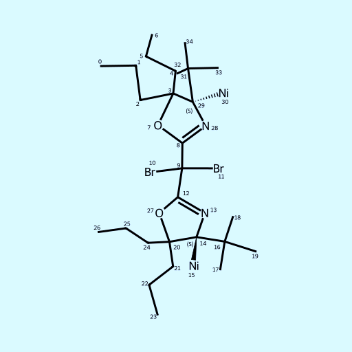 CCCC1(CCC)OC(C(Br)(Br)C2=N[C@]([Ni])(C(C)(C)C)C(CCC)(CCC)O2)=N[C@]1([Ni])C(C)(C)C